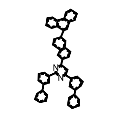 c1ccc(-c2cccc(-c3cc(-c4ccc5cc(-c6cc7ccccc7c7ccccc67)ccc5c4)nc(-c4cccc(-c5ccccc5)c4)n3)c2)cc1